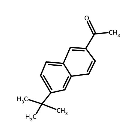 CC(=O)c1ccc2cc(C(C)(C)C)ccc2c1